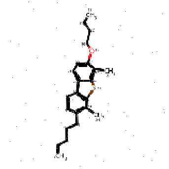 CCCCCc1ccc2c(sc3c(C)c(OCCCC)ccc32)c1C